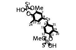 COP(O)(=S)Oc1ccc(Sc2ccc(OP(O)(=S)OC)c(C)c2)cc1C